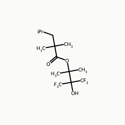 CC(C)CC(C)(C)C(=O)OC(C)(C)C(O)(C(F)(F)F)C(F)(F)F